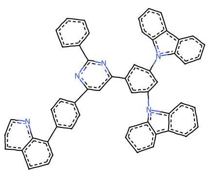 c1ccc(-c2nc(-c3ccc(-c4cccc5cccnc45)cc3)cc(-c3cc(-n4c5ccccc5c5ccccc54)cc(-n4c5ccccc5c5ccccc54)c3)n2)cc1